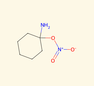 NC1(O[N+](=O)[O-])CCCCC1